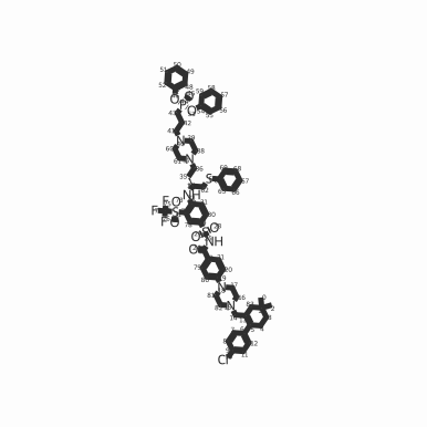 CC1(C)CCC(c2ccc(Cl)cc2)=C(CN2CCN(c3ccc(C(=O)NS(=O)(=O)c4ccc(N[C@H](CCN5CCN(CCCP(=O)(Oc6ccccc6)Oc6ccccc6)CC5)CSc5ccccc5)c(S(=O)(=O)C(F)(F)F)c4)cc3)CC2)C1